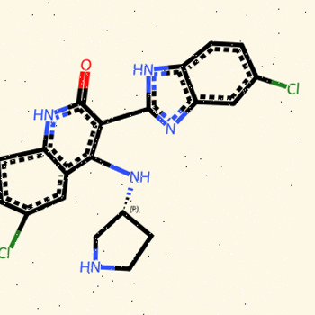 O=c1[nH]c2ccc(Cl)cc2c(N[C@@H]2CCNC2)c1-c1nc2cc(Cl)ccc2[nH]1